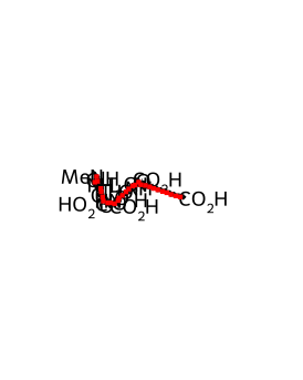 CNN[C@@H](CCCCNC(=O)CC[C@H](NC(=O)CC[C@H](NC(=O)COCCOCCNC(=O)CC[C@H](NC(=O)CCCCCCCCCCCCCCCCCCC(=O)O)C(=O)O)C(=O)O)C(=O)O)C(N)=O